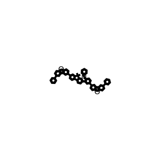 CC1(C)c2cc(-c3ccc4oc5ccc(-c6ccccc6)cc5c4c3)ccc2-c2ccc3c4cc(-c5ccc6oc7ccc(-c8ccccc8)cc7c6c5)ccc4n(-c4ccccc4)c3c21